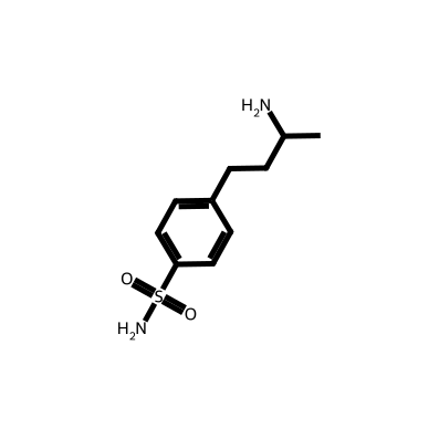 CC(N)CCc1ccc(S(N)(=O)=O)cc1